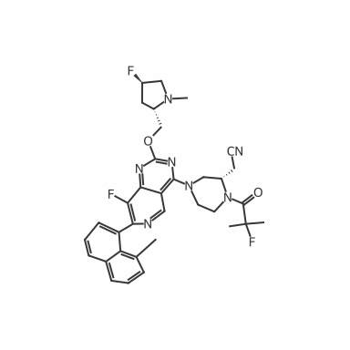 Cc1cccc2cccc(-c3ncc4c(N5CCN(C(=O)C(C)(C)F)[C@@H](CC#N)C5)nc(OC[C@@H]5C[C@@H](F)CN5C)nc4c3F)c12